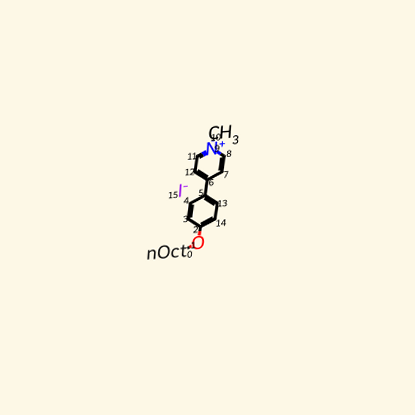 CCCCCCCCOc1ccc(-c2cc[n+](C)cc2)cc1.[I-]